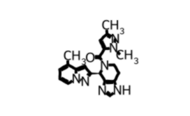 Cc1cc(C(=O)N2CCc3[nH]cnc3[C@H]2c2cc3c(C)cccn3n2)n(C)n1